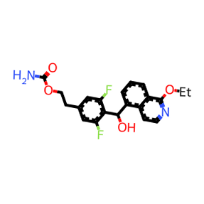 CCOc1nccc2c(C(O)c3c(F)cc(CCOC(N)=O)cc3F)cccc12